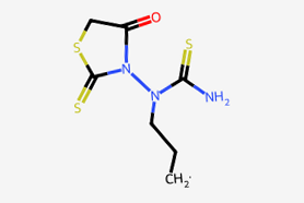 [CH2]CCN(C(N)=S)N1C(=O)CSC1=S